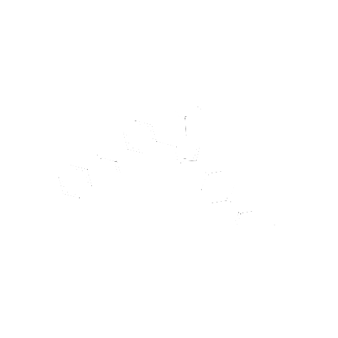 CC(C)(C)OC(=O)N1CCN(c2nc(-c3cccc(C(=O)Nc4ccccc4)c3)c(C(N)=O)s2)CC1